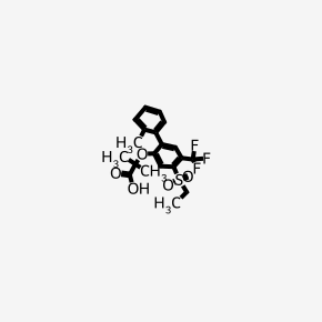 CCS(=O)(=O)c1cc(OC(C)(C)C(=O)O)c(-c2ccccc2C)cc1C(F)(F)F